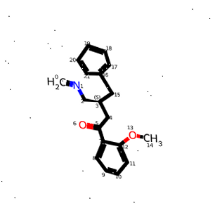 C=NC[C@H](CC(=O)c1ccccc1OC)Cc1ccccc1